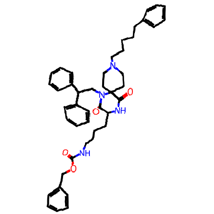 O=C(NCCCCC1NC(=O)C2(CCN(CCCCCc3ccccc3)CC2)N(CC(c2ccccc2)c2ccccc2)C1=O)OCc1ccccc1